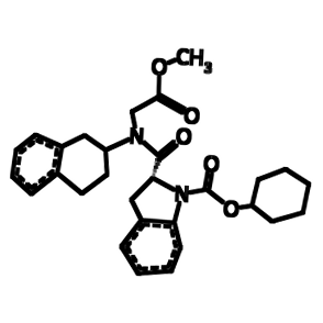 COC(=O)CN(C(=O)[C@H]1Cc2ccccc2N1C(=O)OC1CCCCC1)C1CCc2ccccc2C1